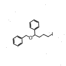 ICCCC(OCc1ccccc1)c1ccccc1